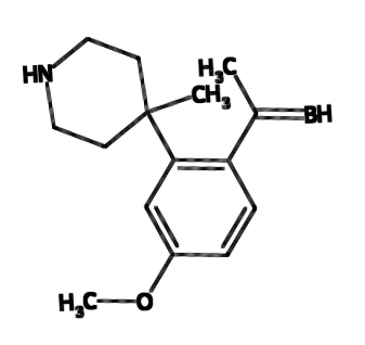 B=C(C)c1ccc(OC)cc1C1(C)CCNCC1